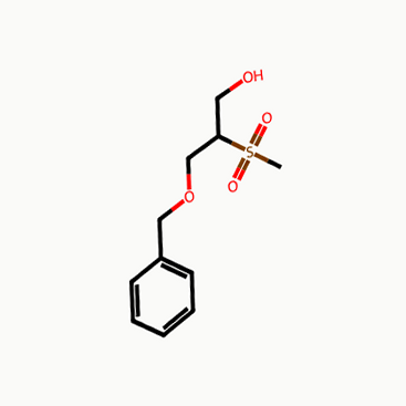 CS(=O)(=O)C(CO)COCc1ccccc1